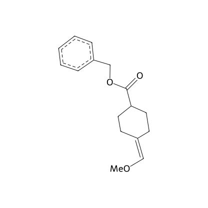 COC=C1CCC(C(=O)OCc2ccccc2)CC1